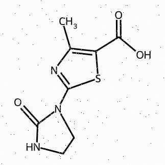 Cc1nc(N2CCNC2=O)sc1C(=O)O